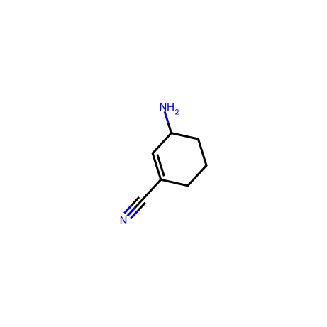 N#CC1=CC(N)CCC1